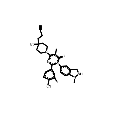 C#CCCC1(CC)CCN(c2nc(-c3ccc(C#N)c(F)c3)n(-c3ccc4c(c3)CNN4C)c(=O)c2C)CC1